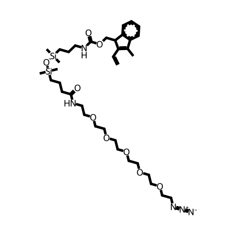 C=CC1=C(C)c2ccccc2C1COC(=O)NCCC[Si](C)(C)O[Si](C)(C)CCCC(=O)NCCOCCOCCOCCOCCOCCN=[N+]=[N-]